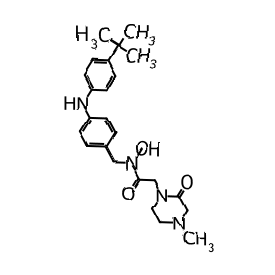 CN1CCN(CC(=O)N(O)Cc2ccc(Nc3ccc(C(C)(C)C)cc3)cc2)C(=O)C1